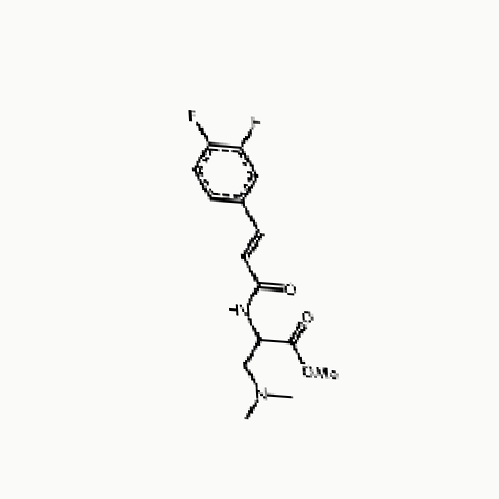 COC(=O)C(CN(C)C)NC(=O)/C=C/c1ccc(F)c(F)c1